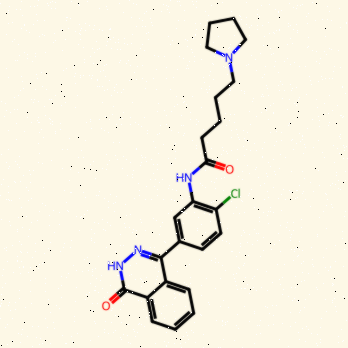 O=C(CCCCN1CCCC1)Nc1cc(-c2n[nH]c(=O)c3ccccc23)ccc1Cl